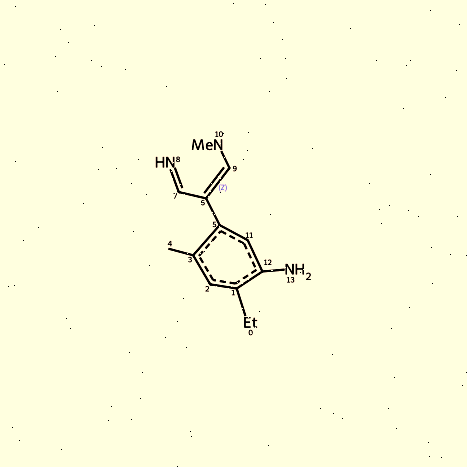 CCc1cc(C)c(/C(C=N)=C/NC)cc1N